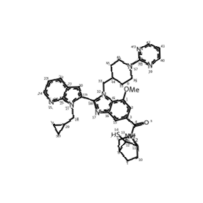 COc1cc(C(=O)N2CC3CCC2[C@]3(N)S)cc2nc(-c3cc4cccnc4n3CC3CC3)n(CC3CCN(c4ncccn4)CC3)c12